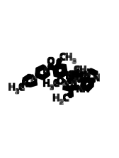 C=Cc1cnc(Nc2cc(CC)c(C(=O)N3CCC(N4CCN(C)CC4)CC3)cc2OC)nc1Nc1ccc2nccnc2c1NS(C)(=O)=O